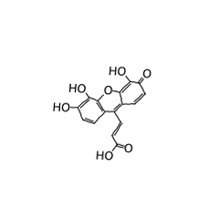 O=C(O)C=Cc1c2ccc(=O)c(O)c-2oc2c(O)c(O)ccc12